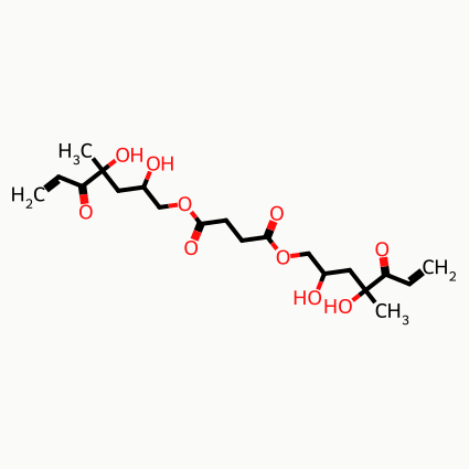 C=CC(=O)C(C)(O)CC(O)COC(=O)CCC(=O)OCC(O)CC(C)(O)C(=O)C=C